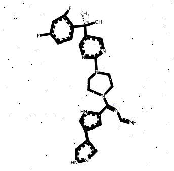 C[C@](O)(c1cnc(N2CCN(/C(=N/C=N)c3cc(-c4cn[nH]c4)c[nH]3)CC2)nc1)c1ccc(F)cc1F